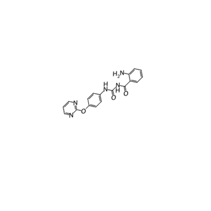 Nc1ccccc1C(=O)NC(=O)Nc1ccc(Oc2ncccn2)cc1